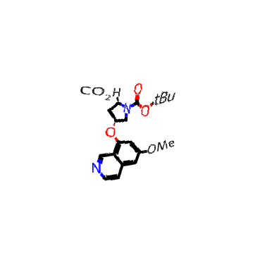 COc1cc(O[C@@H]2C[C@@H](C(=O)O)N(C(=O)OC(C)(C)C)C2)c2cnccc2c1